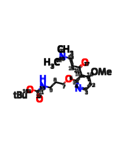 COc1ccnc(OCCCNC(=O)OC(C)(C)C)c1C(=O)/C=C/N(C)C